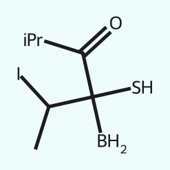 BC(S)(C(=O)C(C)C)C(C)I